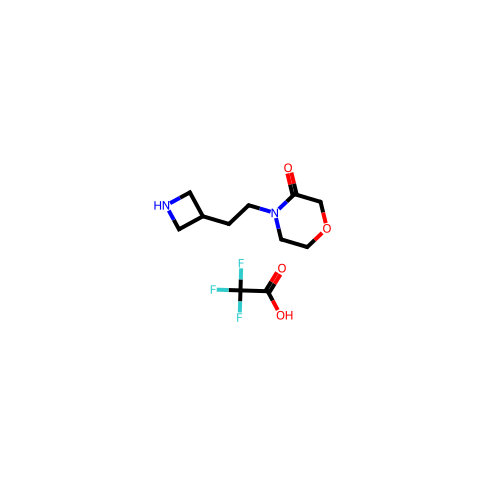 O=C(O)C(F)(F)F.O=C1COCCN1CCC1CNC1